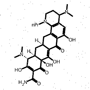 CCCN1CCC(N(C)C)c2cc(O)c3c(c21)C[C@@H]1C[C@@H]2[C@@H](N(C)C)C(O)=C(C(N)=O)C(=O)[C@@]2(O)C(O)=C1C3=O